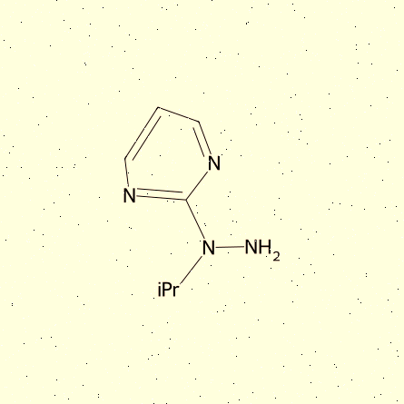 CC(C)N(N)c1ncccn1